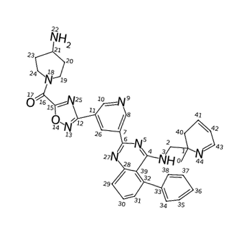 CC1(CNc2nc(-c3cncc(-c4noc(C(=O)N5CCC(N)CC5)n4)c3)nc3cccc(-c4ccccc4)c23)CC=CC=N1